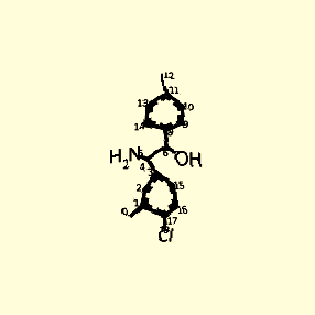 Cc1cc(C(N)C(O)c2ccc(I)cc2)ccc1Cl